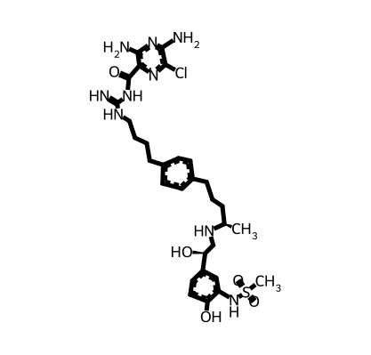 C[C@H](CCCc1ccc(CCCCNC(=N)NC(=O)c2nc(Cl)c(N)nc2N)cc1)NC[C@H](O)c1ccc(O)c(NS(C)(=O)=O)c1